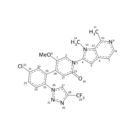 COc1cn(-c2[c]c3ccnc(C)c3n2C)c(=O)cc1-c1cc(Cl)ccc1-n1cc(C(F)(F)F)nn1